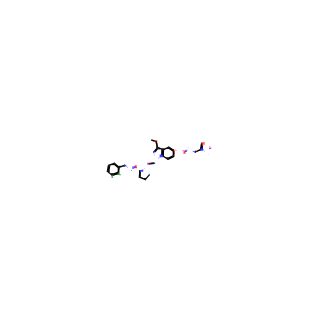 CC(=O)c1cn(CC(=O)N2CCC[C@H]2C(=O)NCc2cccc(Cl)c2F)c2ccc(OC(=O)NCC3=COCN3)cc12